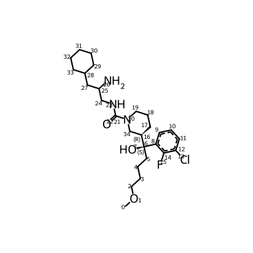 COCCCC[C@@](O)(c1cccc(Cl)c1F)[C@@H]1CCCN(C(=O)NCC(N)CC2CCCCC2)C1